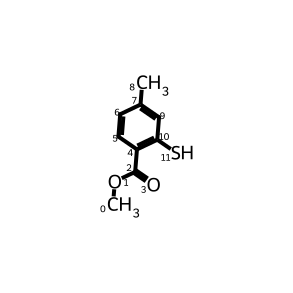 COC(=O)c1ccc(C)cc1S